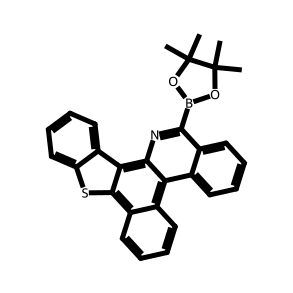 CC1(C)OB(c2nc3c(c4ccccc24)c2ccccc2c2sc4ccccc4c32)OC1(C)C